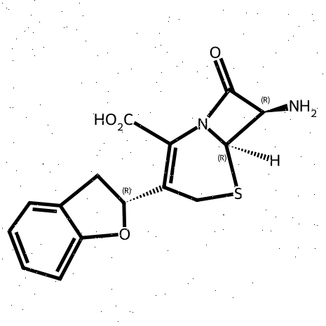 N[C@@H]1C(=O)N2C(C(=O)O)=C([C@H]3Cc4ccccc4O3)CS[C@H]12